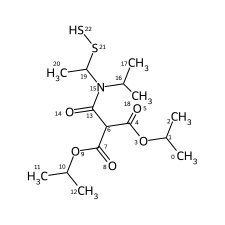 CC(C)OC(=O)C(C(=O)OC(C)C)C(=O)N(C(C)C)C(C)SS